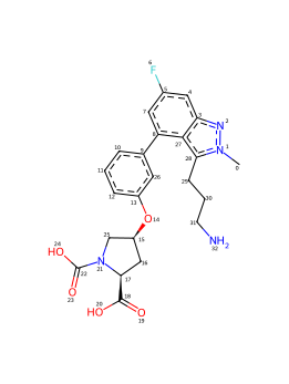 Cn1nc2cc(F)cc(-c3cccc(O[C@H]4C[C@@H](C(=O)O)N(C(=O)O)C4)c3)c2c1CCCN